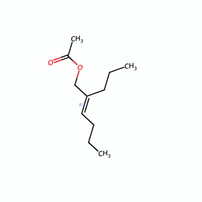 CCC/C=C(\CCC)COC(C)=O